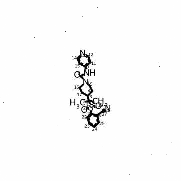 CC(C)(C1CCN(C(=O)Nc2ccncc2)CC1)S(=O)(=O)c1ccccc1C#N